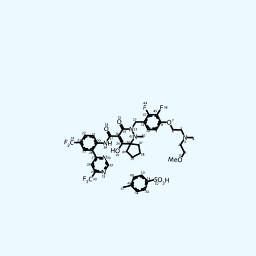 COCCN(C)CCOc1ccc(CN2C(=O)C(C(=O)Nc3ccc(C(F)(F)F)cc3-c3cc(C(F)(F)F)ncn3)=C(O)C3(CCCC3)N2C)c(F)c1F.Cc1ccc(S(=O)(=O)O)cc1